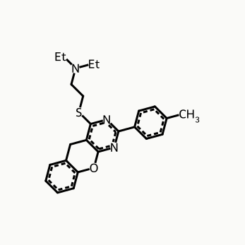 CCN(CC)CCSc1nc(-c2ccc(C)cc2)nc2c1Cc1ccccc1O2